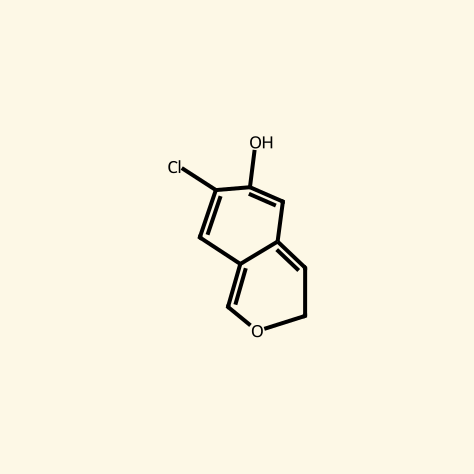 Oc1cc2c(cc1Cl)=COCC=2